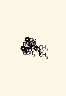 C=CC(=O)N1C[C@H](C)N(C2=NS(=O)(=O)N(c3ccccc3CCCC)c3nc(-c4c(F)cccc4S(C)(=O)=O)c(Cl)cc32)C[C@H]1C